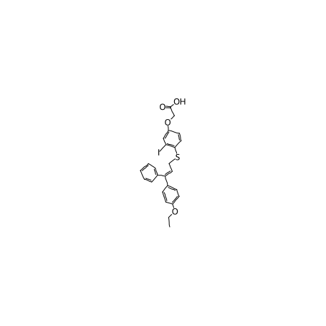 CCOc1ccc(C(=CCSc2ccc(OCC(=O)O)cc2I)c2ccccc2)cc1